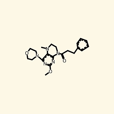 COc1nc(N2CCOCC2)c2c(n1)N(C(=O)CCc1ccccc1)CCN2C